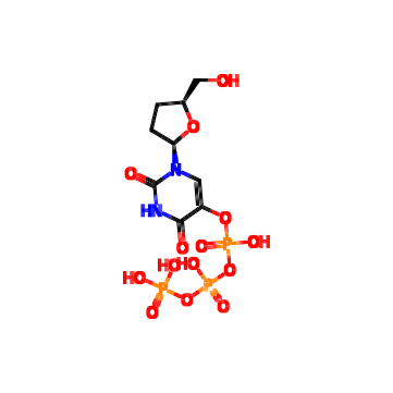 O=c1[nH]c(=O)n([C@H]2CC[C@@H](CO)O2)cc1OP(=O)(O)OP(=O)(O)OP(=O)(O)O